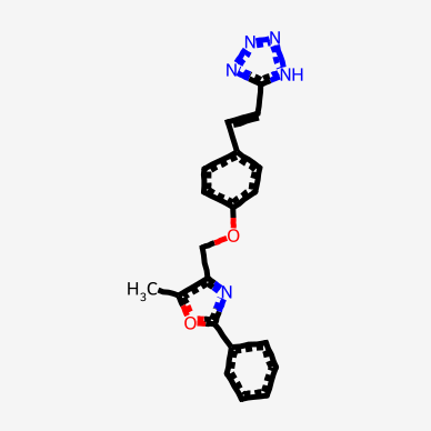 Cc1oc(-c2ccccc2)nc1COc1ccc(C=Cc2nnn[nH]2)cc1